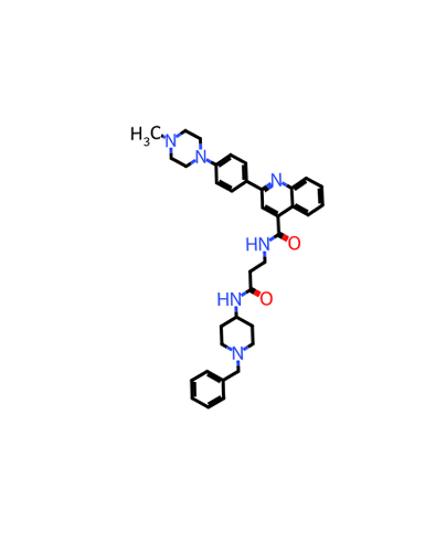 CN1CCN(c2ccc(-c3cc(C(=O)NCCC(=O)NC4CCN(Cc5ccccc5)CC4)c4ccccc4n3)cc2)CC1